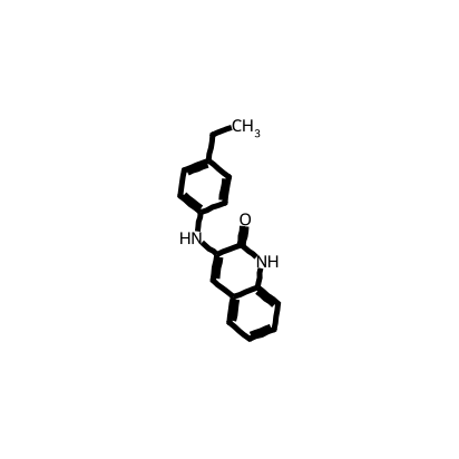 CCc1ccc(Nc2cc3ccccc3[nH]c2=O)cc1